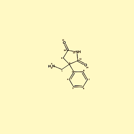 NCC1(c2ccccc2)CC(=O)NC1=O